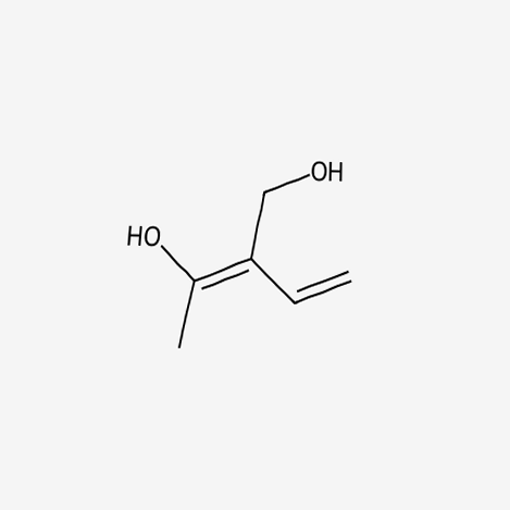 C=C/C(CO)=C(\C)O